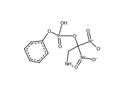 NCC(OP(=O)(O)Oc1ccccc1)([N+](=O)[O-])[N+](=O)[O-]